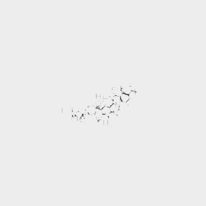 COc1nc2ncnc(N[C@H](C)c3cccc(C(F)F)c3F)c2cc1C1(O)CCN(C(=O)CN(C)C)CC1